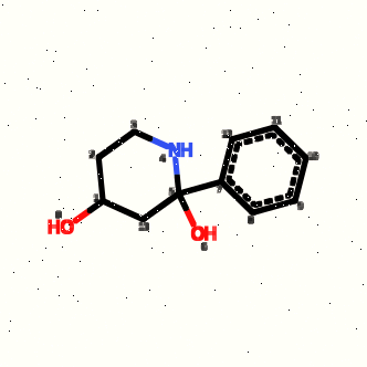 OC1CCNC(O)(c2ccccc2)C1